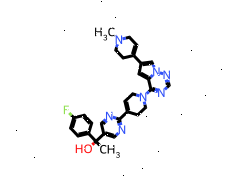 CN1CC=C(c2cc3c(N4CC=C(c5ncc(C(C)(O)c6ccc(F)cc6)cn5)CC4)ncnn3c2)CC1